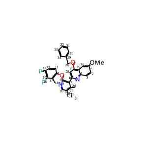 COc1ccc2nc(-c3c(Oc4ccc(F)c(F)c4C)ncc(C(F)(F)F)c3C)cc(OCc3ccccc3)c2c1